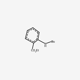 CCOC(=O)c1ccccc1NC(C)CC